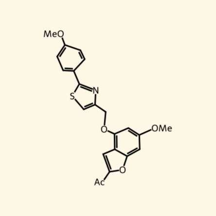 COc1ccc(-c2nc(COc3cc(OC)cc4oc(C(C)=O)cc34)cs2)cc1